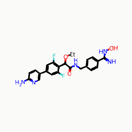 CCOC(C(=O)NCc1ccc(C(=N)NO)cc1)c1c(F)cc(-c2ccc(N)nc2)cc1F